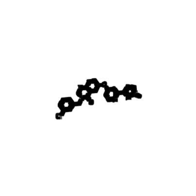 Cn1ccc(-c2cc(Oc3ccc4ncn(Cc5cccc(Cl)c5)c(=O)c4c3)ccn2)n1